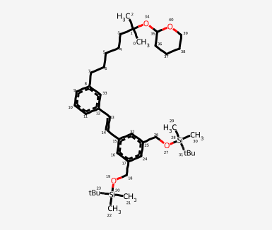 CC(C)(CCCCCc1cccc(C=Cc2cc(CO[Si](C)(C)C(C)(C)C)cc(CO[Si](C)(C)C(C)(C)C)c2)c1)OC1CCCCO1